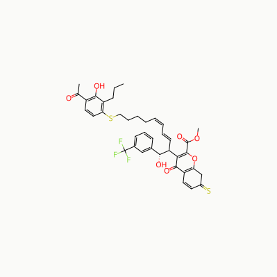 CCCc1c(SCCCC/C=C\C=C\C(c2c(C(=O)OC)oc3c(c2=O)C=CC(=S)C3)[C@H](O)c2cccc(C(F)(F)F)c2)ccc(C(C)=O)c1O